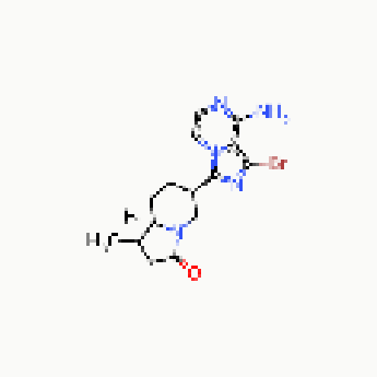 CC1CC(=O)N2C[C@H](c3nc(Br)c4c(N)nccn34)CC[C@H]12